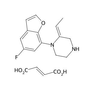 CC=C1CNCCN1c1cc(F)cc2ccoc12.O=C(O)C=CC(=O)O